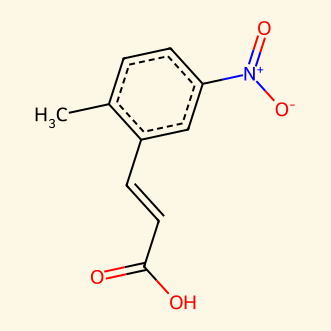 Cc1ccc([N+](=O)[O-])cc1C=CC(=O)O